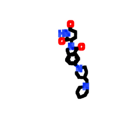 O=C1CCC(N2Cc3ccc(N4CCC(CN5CCCCC5)CC4)cc3C2=O)C(=O)N1